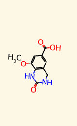 COc1cc(C(=O)O)cc2c1NC(=O)NC2